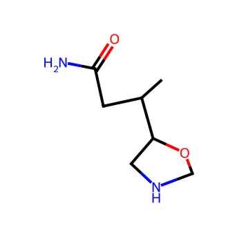 CC(CC(N)=O)C1CNCO1